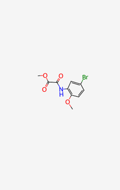 COC(=O)C(=O)Nc1cc(Br)ccc1OC